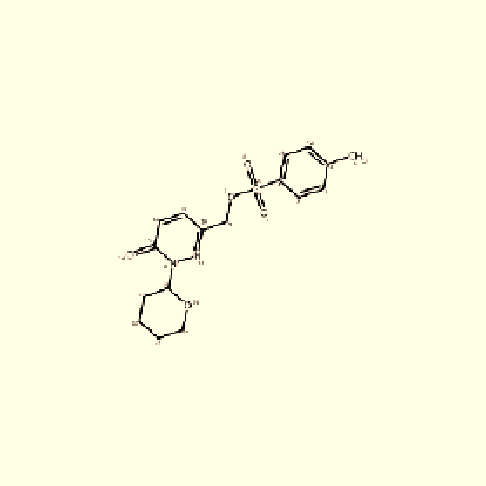 Cc1ccc(S(=O)(=O)OCc2ccc(=O)n(C3CCCCO3)n2)cc1